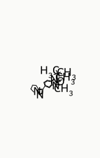 Cn1c(=O)n(CC(C)(C)C)c2ccc(-c3cnn4c3CCCC4)cc21